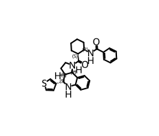 O=C(N[C@@H]1CCCC[C@@H]1C(=O)N1CC[C@@H]2[C@@H](c3ccsc3)Nc3ccccc3[C@@H]21)c1ccccc1